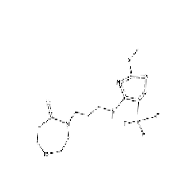 CSc1ncc(C(F)(F)F)c(NCCCN2CCOCCC2=O)n1